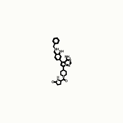 N=C1C=C(c2cc(C3CCN(C(=O)C4CCC(=O)N4)CC3)n3ncnc(N)c23)C=C/C1=C/NCc1ccccc1